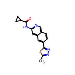 Cc1nnc(-c2ccc3cnc(NC(=O)C4CC4)cc3c2)s1